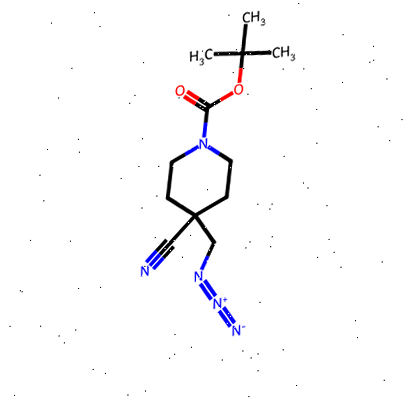 CC(C)(C)OC(=O)N1CCC(C#N)(CN=[N+]=[N-])CC1